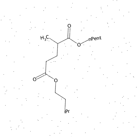 CCCCCOC(=O)C(C)CCC(=O)OCCC(C)C